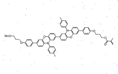 C=C(C)C(=O)OCCCOc1ccc(-c2ccc3c(c2)Oc2ccc(-c4ccc5c(c4)N(c4ccc(C)cc4)c4ccc(-c6ccc(OCCCOC)cc6)cc4O5)cc2N3c2ccc(C)cc2)cc1